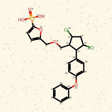 O=P(O)(O)c1ccc(COCC2C(Cl)CC(Cl)C2c2ccc(Oc3ccccc3)cc2)o1